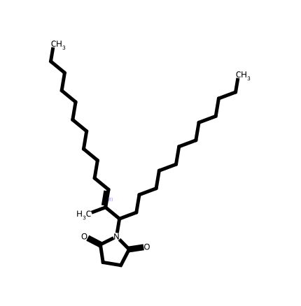 CCCCCCCCCC/C=C(\C)C(CCCCCCCCCCCC)N1C(=O)CCC1=O